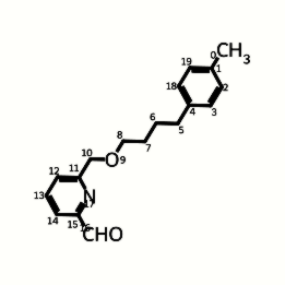 Cc1ccc(CCCCOCc2cccc(C=O)n2)cc1